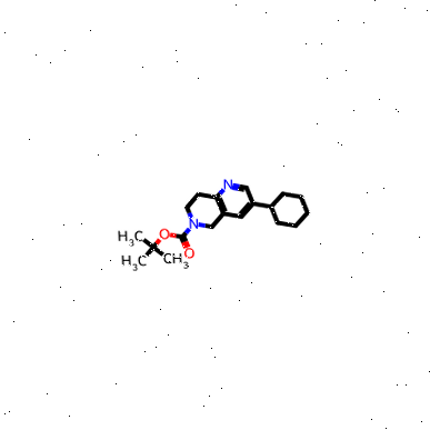 CC(C)(C)OC(=O)N1CCc2ncc(C3CCCCC3)cc2C1